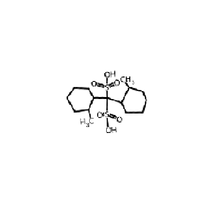 CC1CCCCC1C(C1CCCCC1C)(S(=O)(=O)O)S(=O)(=O)O